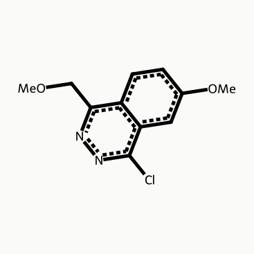 COCc1nnc(Cl)c2cc(OC)ccc12